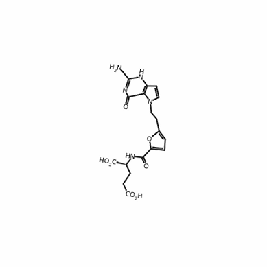 Nc1nc(=O)c2c(ccn2CCc2ccc(C(=O)N[C@@H](CCC(=O)O)C(=O)O)o2)[nH]1